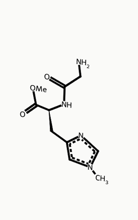 COC(=O)[C@H](Cc1cn(C)cn1)NC(=O)CN